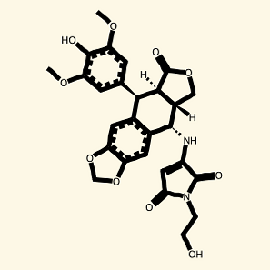 COc1cc([C@@H]2c3cc4c(cc3[C@@H](NC3=CC(=O)N(CCO)C3=O)[C@H]3COC(=O)[C@H]23)OCO4)cc(OC)c1O